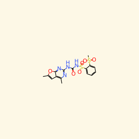 Cc1cc2c(C)nc(NC(=O)NS(=O)(=O)c3ccccc3S(C)(=O)=O)nc2o1